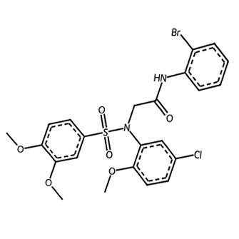 COc1ccc(S(=O)(=O)N(CC(=O)Nc2ccccc2Br)c2cc(Cl)ccc2OC)cc1OC